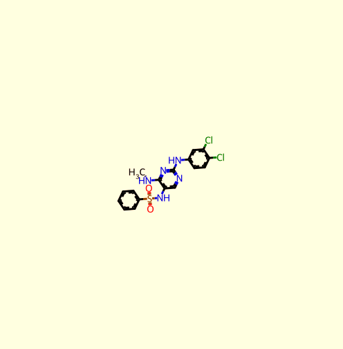 CNc1nc(Nc2ccc(Cl)c(Cl)c2)ncc1NS(=O)(=O)c1ccccc1